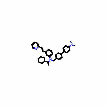 C=C(C1CCCCC1)N(Cc1ccc(-c2ccc(N(C)C)cc2)cc1)c1cccc(/C=C/c2ccccn2)c1